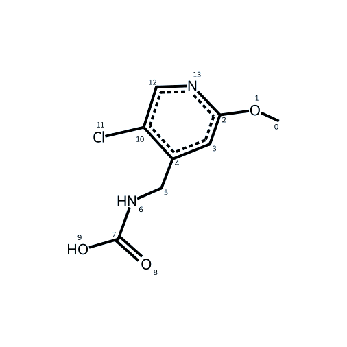 COc1cc(CNC(=O)O)c(Cl)cn1